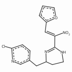 O=[N+]([O-])C(=Cc1ccco1)C1=NC(Cc2ccc(Cl)nc2)CCN1